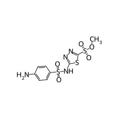 COS(=O)(=O)c1nnc(NS(=O)(=O)c2ccc(N)cc2)s1